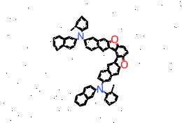 Cc1ccccc1N(c1ccc2ccccc2c1)c1ccc2cc3c(cc2c1)oc1ccc2oc4cc5cc(N(c6ccc7ccccc7c6)c6ccccc6C)ccc5cc4c2c13